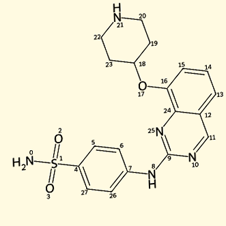 NS(=O)(=O)c1ccc(Nc2ncc3cccc(OC4CCNCC4)c3n2)cc1